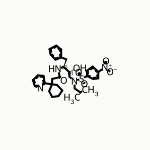 CC(C)CN(C[C@@H](O)[C@H](Cc1ccccc1)NC(=O)CC1(c2ccccn2)CCCCC1)S(=O)(=O)c1ccc([N+](=O)[O-])cc1